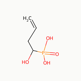 C=CCC(O)P(=O)(O)O